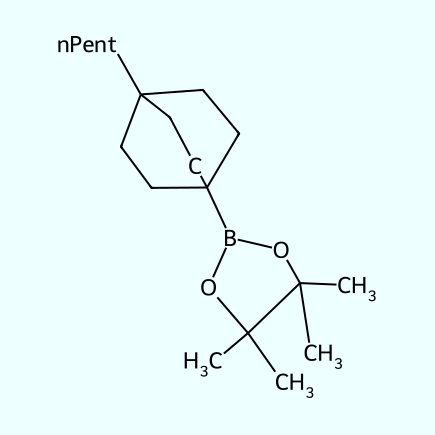 CCCCCC12CCC(B3OC(C)(C)C(C)(C)O3)(CC1)CC2